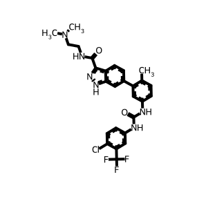 Cc1ccc(NC(=O)Nc2ccc(Cl)c(C(F)(F)F)c2)cc1-c1ccc2c(C(=O)NCCN(C)C)n[nH]c2c1